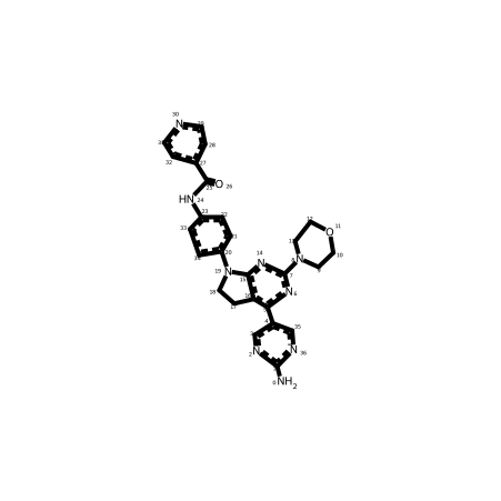 Nc1ncc(-c2nc(N3CCOCC3)nc3c2CCN3c2ccc(NC(=O)c3ccncc3)cc2)cn1